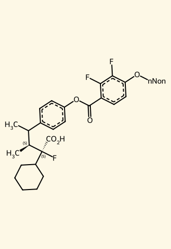 CCCCCCCCCOc1ccc(C(=O)Oc2ccc(C(C)[C@H](C)[C@](F)(C(=O)O)C3CCCCC3)cc2)c(F)c1F